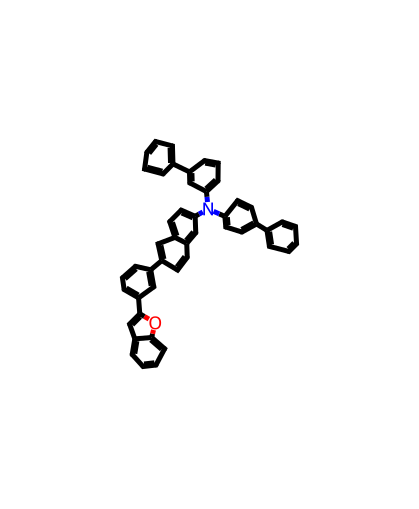 c1ccc(-c2ccc(N(c3cccc(-c4ccccc4)c3)c3ccc4cc(-c5cccc(-c6cc7ccccc7o6)c5)ccc4c3)cc2)cc1